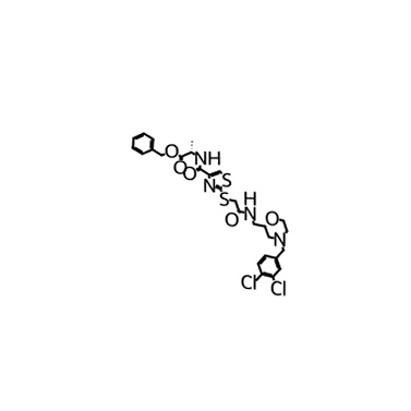 C[C@H](NC(=O)c1csc(SCC(=O)NCC2CN(Cc3ccc(Cl)c(Cl)c3)CCO2)n1)C(=O)OCc1ccccc1